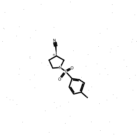 Cc1ccc(S(=O)(=O)N2CC[C@@H](C#N)C2)cc1